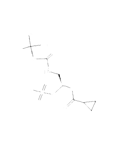 CC(C)(C)OC(=O)NC[C@@H](OC(=O)C1CC1)OS(C)(=O)=O